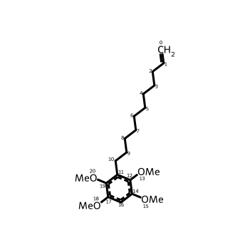 C=CCCCCCCCCCc1c(OC)c(OC)cc(OC)c1OC